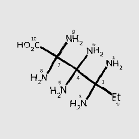 CCC(N)(N)C(N)(N)C(N)(N)C(=O)O